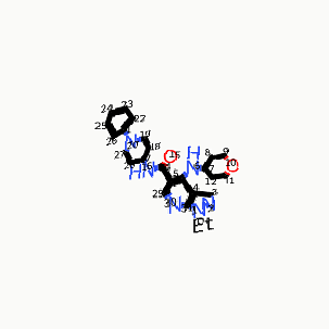 CCn1ncc2c(NC3CCOCC3)c(C(=O)NC3CCN(c4ccccc4)CC3)cnc21